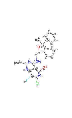 CSc1nc(NCCO[Si](c2ccccc2)(c2ccccc2)C(C)(C)C)c2c(O)nc(Cl)c(F)c2n1